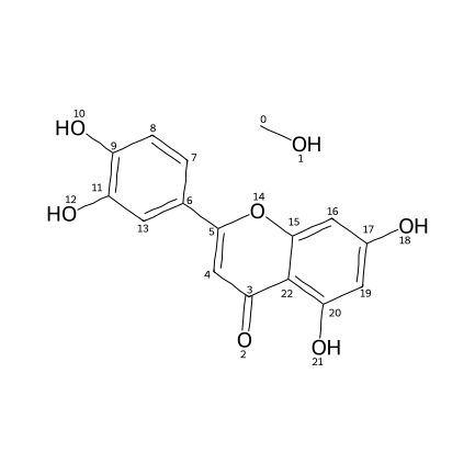 CO.O=c1cc(-c2ccc(O)c(O)c2)oc2cc(O)cc(O)c12